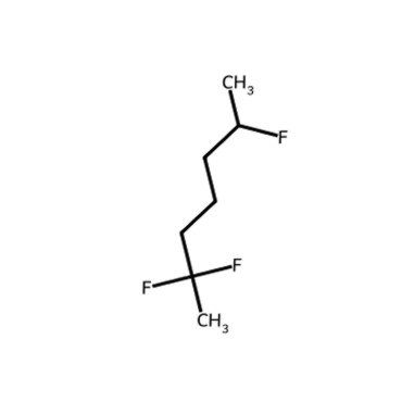 CC(F)CCCC(C)(F)F